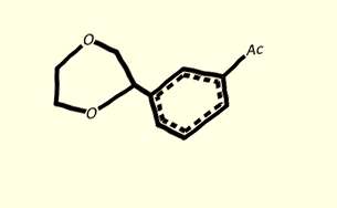 CC(=O)c1cccc(C2COCCO2)c1